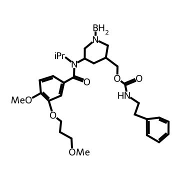 BN1CC(COC(=O)NCCc2ccccc2)CC(N(C(=O)c2ccc(OC)c(OCCCOC)c2)C(C)C)C1